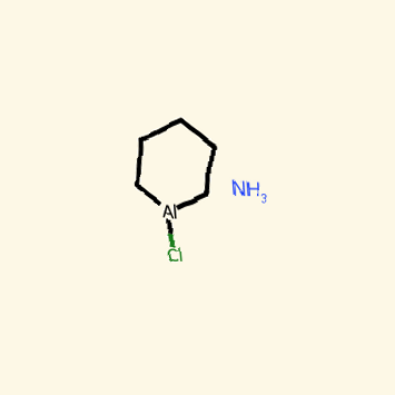 N.[Cl][Al]1[CH2]CCC[CH2]1